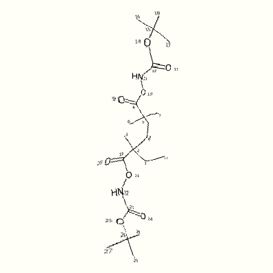 CCC(C)(CC(C)(C)C(=O)ONC(=O)OC(C)(C)C)C(=O)ONC(=O)OC(C)(C)C